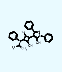 CC(C)N(c1ccccc1)C1C(O)C(c2c(-c3ccccc3)nn(-c3ccccc3)c2O)C1O